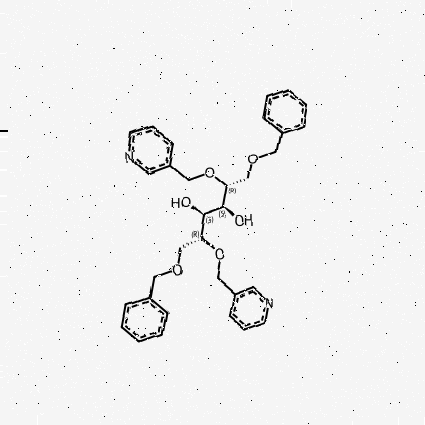 O[C@@H]([C@H](O)[C@@H](COCc1ccccc1)OCc1cccnc1)[C@@H](COCc1ccccc1)OCc1cccnc1